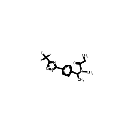 CCC(=O)N(C)C(C)c1ccc(-c2noc(C(F)(F)F)n2)cc1